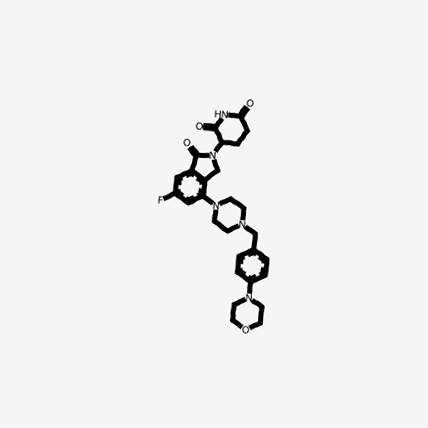 O=C1CCC(N2Cc3c(cc(F)cc3N3CCN(Cc4ccc(N5CCOCC5)cc4)CC3)C2=O)C(=O)N1